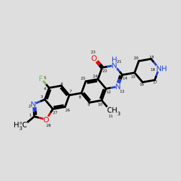 Cc1nc2c(F)cc(-c3cc(C)c4nc(C5CCNCC5)[nH]c(=O)c4c3)cc2o1